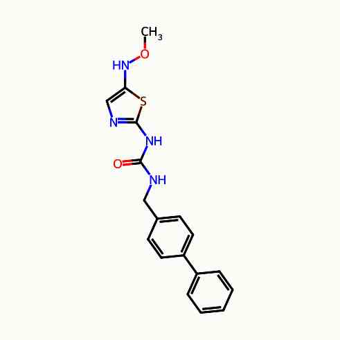 CONc1cnc(NC(=O)NCc2ccc(-c3ccccc3)cc2)s1